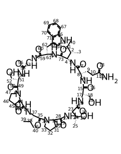 CC[C@H](C)[C@@H]1NC(=O)[C@H](CCC(N)=O)NC(=O)[C@H](CO)NC(=O)[C@H]([C@@H](C)O)NC(=O)[C@@H]2CCCN2C(=O)[C@H](C(C)C)NC(=O)[C@@H]2CCCN2C(=O)[C@H](CO)NC(=O)CNC(=O)[C@H](Cc2c[nH]c3ccccc23)NC1=O